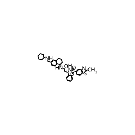 Cc1nc2cc(S(=O)(=O)N[C@H](CC(=O)N[C@@H]3CCCc4cc(CNC5CCCCC5)ccc43)c3ccccc3)ccc2s1